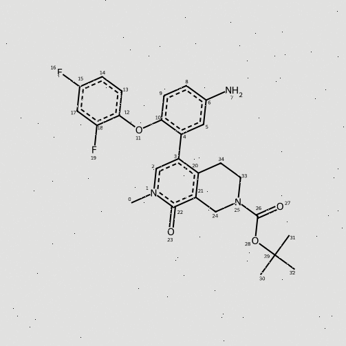 Cn1cc(-c2cc(N)ccc2Oc2ccc(F)cc2F)c2c(c1=O)CN(C(=O)OC(C)(C)C)CC2